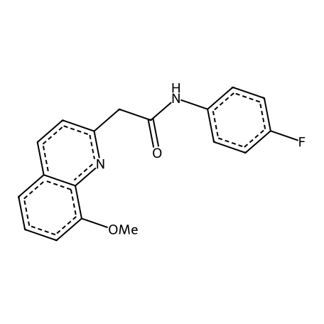 COc1cccc2ccc(CC(=O)Nc3ccc(F)cc3)nc12